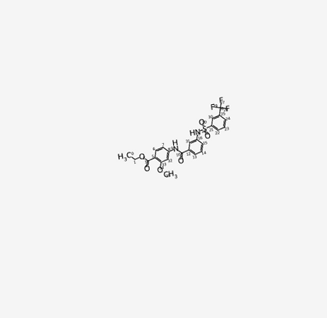 CCOC(=O)c1ccc(NC(=O)c2cccc(NS(=O)(=O)c3cccc(C(F)(F)F)c3)c2)cc1OC